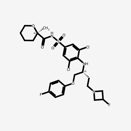 C[C@]1(C(=O)NS(=O)(=O)c2cc(Cl)c(N[C@H](CCN3CC(F)C3)COc3ccc(F)cc3)c(Cl)c2)CCCCO1